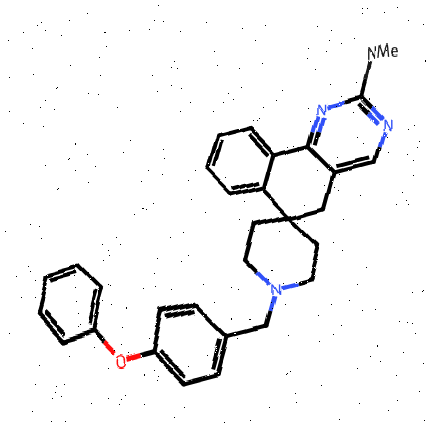 CNc1ncc2c(n1)-c1ccccc1C1(CCN(Cc3ccc(Oc4ccccc4)cc3)CC1)C2